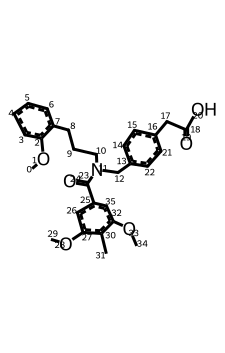 COc1ccccc1CCCN(Cc1ccc(CC(=O)O)cc1)C(=O)c1cc(OC)c(C)c(OC)c1